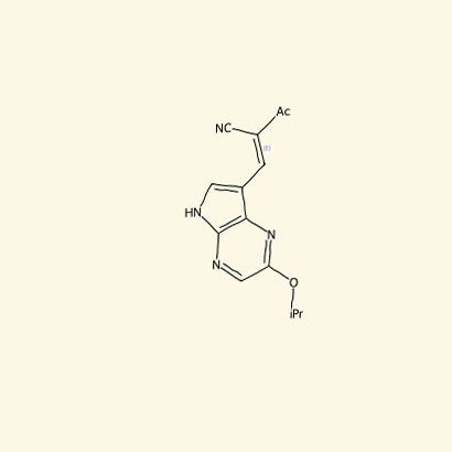 CC(=O)/C(C#N)=C/c1c[nH]c2ncc(OC(C)C)nc12